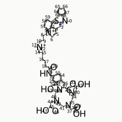 CN1/C(=C/c2cc[n+](CCC[N+](C)(C)CCCCCC(=O)Nc3ccc(CC4CN(CC(=O)O)CCN(CC(=O)O)CCN(CC(=O)O)CCN4CCO)cc3)c3ccccc23)Sc2ccccc21